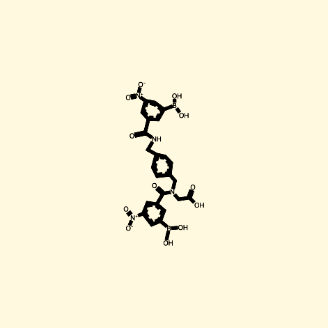 O=C(O)CN(Cc1ccc(CNC(=O)c2cc(B(O)O)cc([N+](=O)[O-])c2)cc1)C(=O)c1cc(B(O)O)cc([N+](=O)[O-])c1